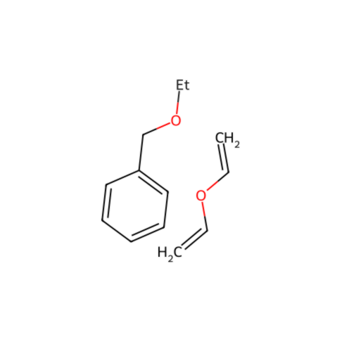 C=COC=C.CCOCc1ccccc1